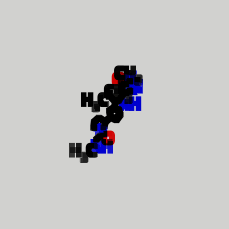 CNCC(=O)N1CCCC(c2ccc3[nH]c(-c4cc(OC)c5ncnn5c4)c(C(C)C)c3c2)C1